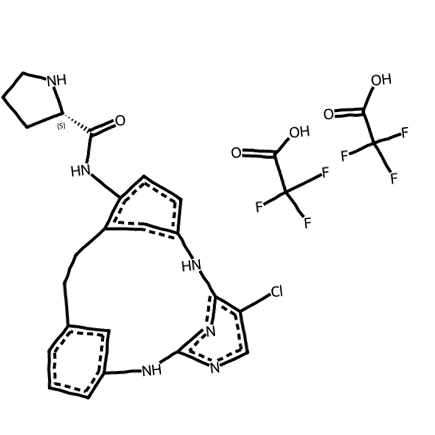 O=C(Nc1ccc2cc1CCc1cccc(c1)Nc1ncc(Cl)c(n1)N2)[C@@H]1CCCN1.O=C(O)C(F)(F)F.O=C(O)C(F)(F)F